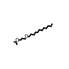 CCCCCCCCCCCCOCCCOC(C)C